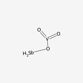 [O]=[V](=[O])[O][SbH2]